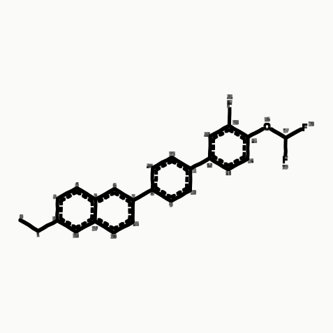 CCc1ccc2cc(-c3ccc(-c4ccc(OC(F)F)c(F)c4)cc3)ccc2c1